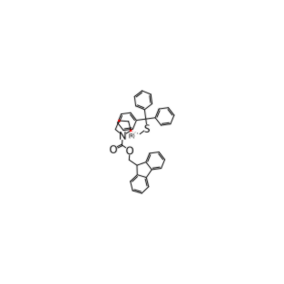 O=C(OCC1c2ccccc2-c2ccccc21)N1CCC[C@@H]1CSC(c1ccccc1)(c1ccccc1)c1ccccc1